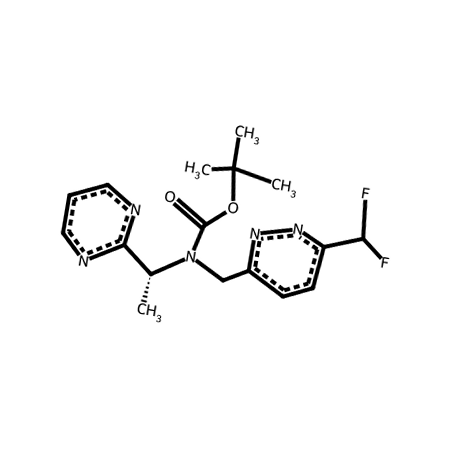 C[C@H](c1ncccn1)N(Cc1ccc(C(F)F)nn1)C(=O)OC(C)(C)C